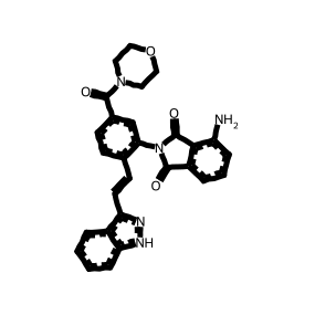 Nc1cccc2c1C(=O)N(c1cc(C(=O)N3CCOCC3)ccc1C=Cc1n[nH]c3ccccc13)C2=O